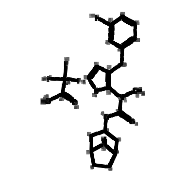 CN(C(=O)OC1CC2CCC(C1)N2)c1sccc1Cc1cccc(F)c1.O=C(O)C(F)(F)F